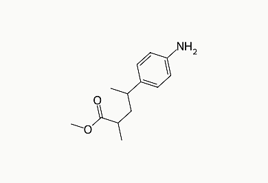 COC(=O)C(C)CC(C)c1ccc(N)cc1